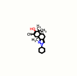 [C-]#[N+]C1=C(O)C(C)(C)[C@@H]2CCc3cn(C4CCCCC4)nc3[C@@]2(C)C1